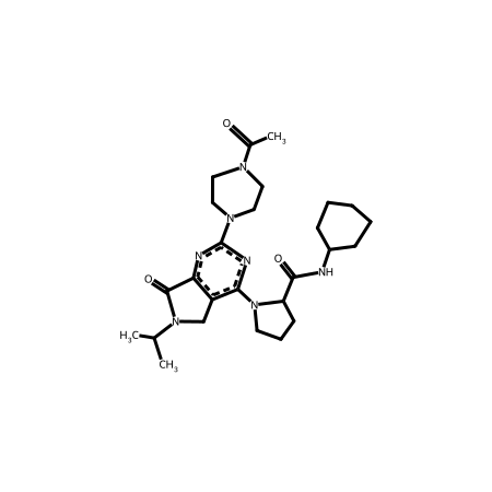 CC(=O)N1CCN(c2nc3c(c(N4CCCC4C(=O)NC4CCCCC4)n2)CN(C(C)C)C3=O)CC1